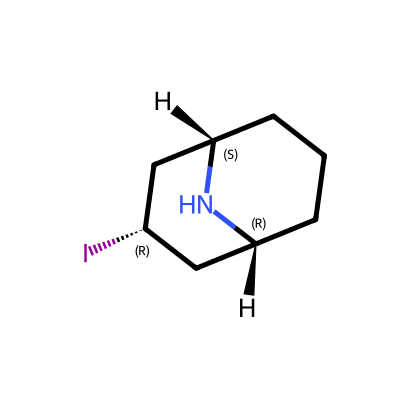 I[C@H]1C[C@H]2CCC[C@@H](C1)N2